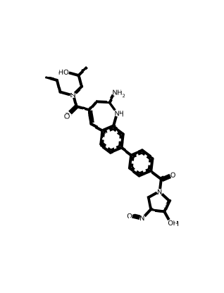 CCCN(CC(C)O)C(=O)C1=Cc2ccc(-c3ccc(C(=O)N4CC(O)C(N=O)C4)cc3)cc2NC(N)C1